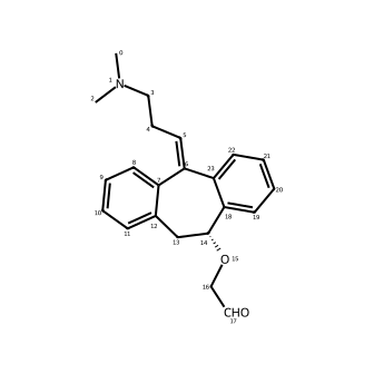 CN(C)CC/C=C1\c2ccccc2C[C@@H](OCC=O)c2ccccc21